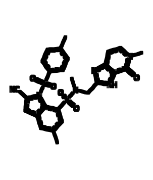 Cc1ccc(S(=O)(=O)n2c(C#N)cc3cc(C)cc(S(=O)(=O)N(C)Cc4nc5ccn(C)c(=O)c5[nH]4)c32)cc1